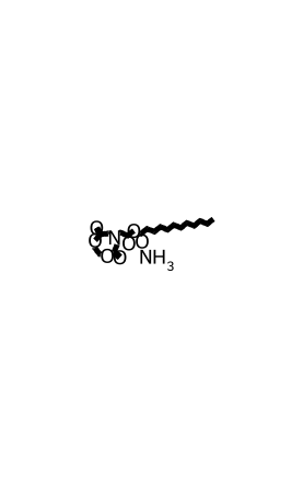 CCCCCCCCCCCC(=O)OC(=O)CN1CC(=O)OCCOC(=O)C1.N